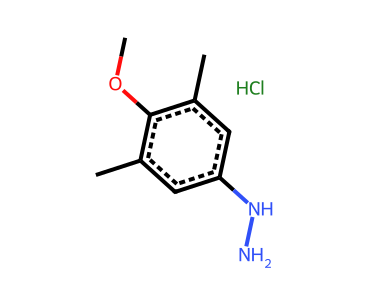 COc1c(C)cc(NN)cc1C.Cl